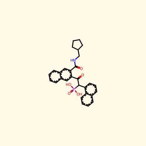 O=C(NCC1CCCC1)c1cc2ccccc2cc1C(=O)C(c1cccc2ccccc12)P(=O)(O)O